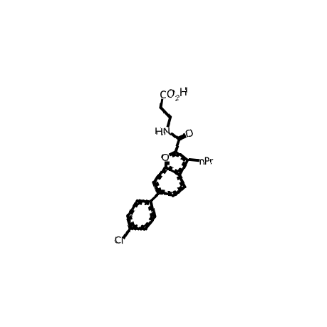 CCCc1c(C(=O)NCCC(=O)O)oc2cc(-c3ccc(Cl)cc3)ccc12